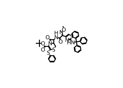 CON=C(C(=O)NC1C(=O)N2C(C(=O)OC(C)(C)C)=C(Sc3ccccc3)SCC12)c1csc(NC(c2ccccc2)(c2ccccc2)c2ccccc2)n1